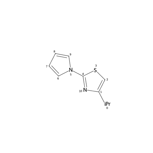 CC(C)c1csc(-n2cccc2)n1